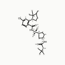 CC1CCN(c2nc(Cl)ccc2C(=O)NS(=O)(=O)N2CC[C@H](NC(=O)OC(C)(C)C)C2)C1(C)C